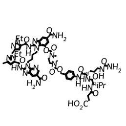 CCn1nc(C)cc1C(=O)Nc1nc2cc(C(N)=O)cnc2n1CCCCn1c(NC(=O)c2cc(C)nn2CC)nc2cc(C(N)=O)cc(OC(=O)N(C)CCN(C)C(=O)OCc3ccc(NC(=O)[C@H](CCCNC(N)=O)NC(=O)[C@@H](NC(=O)CCC(=O)O)C(C)C)cc3)c21